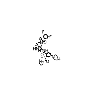 CN1CCN(c2ccc(C(=O)Nc3n[nH]c4c3CN(S(=O)(=O)c3cc(F)cc(F)c3)CC4(C)C)c(NC(=O)[C@H]3CCCN3C)c2)CC1